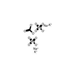 O=C([O-])[O-].[K+].[K+].[Na+].[Na+].[O]=[Mn](=[O])(=[O])[O-].[O]=[Mn](=[O])(=[O])[O-]